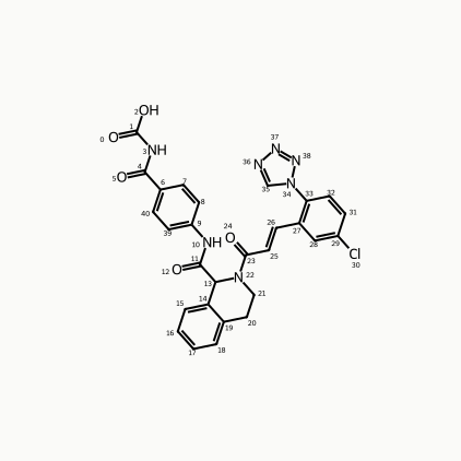 O=C(O)NC(=O)c1ccc(NC(=O)C2c3ccccc3CCN2C(=O)C=Cc2cc(Cl)ccc2-n2cnnn2)cc1